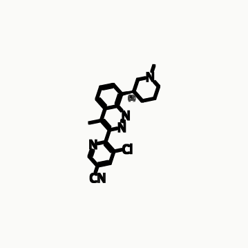 Cc1c(-c2ncc(C#N)cc2Cl)nnc2c([C@@H]3CCCN(C)C3)cccc12